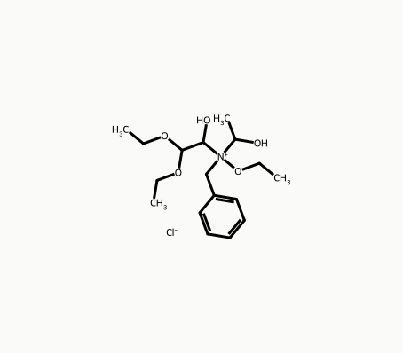 CCOC(OCC)C(O)[N+](Cc1ccccc1)(OCC)C(C)O.[Cl-]